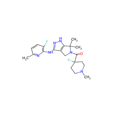 Cc1ccc(F)c(Nc2n[nH]c3c2CN(C(=O)C2(F)CCN(C)CC2)C3(C)C)n1